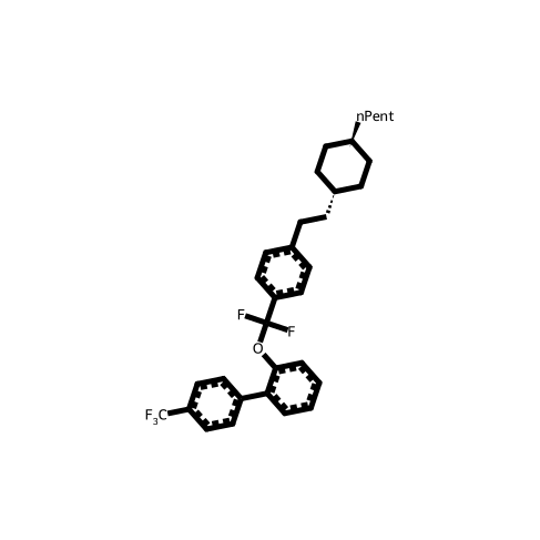 CCCCC[C@H]1CC[C@H](CCc2ccc(C(F)(F)Oc3ccccc3-c3ccc(C(F)(F)F)cc3)cc2)CC1